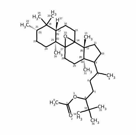 CC(=O)OC(CCC(C)C1CC[C@@]2(C)C34CC[C@H]5C(C)(C)[C@@H](C)CC[C@]5(C)C3(CC[C@]12C)O4)C(C)(C)C